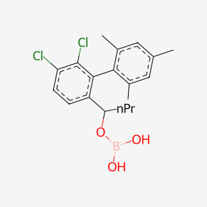 CCCC(OB(O)O)c1ccc(Cl)c(Cl)c1-c1c(C)cc(C)cc1C